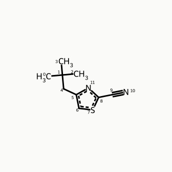 CC(C)(C)Cc1csc(C#N)n1